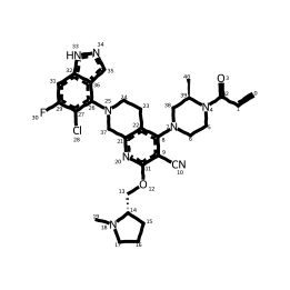 C=CC(=O)N1CCN(c2c(C#N)c(OC[C@@H]3CCCN3C)nc3c2CCN(c2c(Cl)c(F)cc4[nH]ncc24)C3)C[C@H]1C